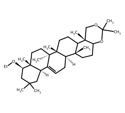 CCO[C@@H]1CC(C)(C)C[C@@H]2C3=CC[C@@H]4[C@@]5(C)CCC6OC(C)(C)OC[C@@]6(C)C5CC[C@@]4(C)[C@]3(C)CC[C@]21C